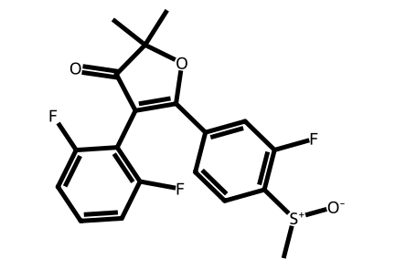 C[S+]([O-])c1ccc(C2=C(c3c(F)cccc3F)C(=O)C(C)(C)O2)cc1F